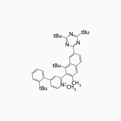 Cc1cc2ccc(-c3nc(C(C)(C)C)nc(C(C)(C)C)n3)cc2c(C(C)(C)C)c1-c1cc(-c2ccccc2C(C)(C)C)cc[n+]1C